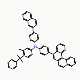 Cc1cc(N(c2ccc(-c3ccc4ccccc4c3)cc2)c2ccc(-c3cc4ccc5ccccc5c4c4ccccc34)cc2)ccc1C(C)(C)c1ccccc1